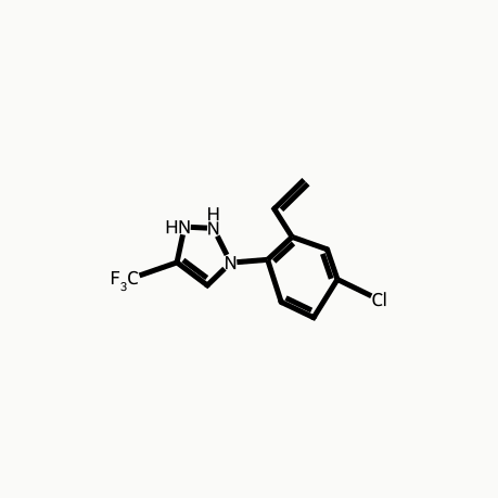 C=Cc1cc(Cl)ccc1N1C=C(C(F)(F)F)NN1